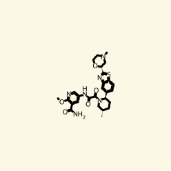 COc1ncc(NC(=O)C(=O)N2C[C@@H](C)CC[C@@H]2c2ccc3sc([C@H]4CN(C)CCO4)nc3c2)cc1C(N)=O